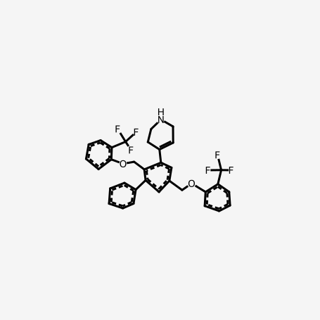 FC(F)(F)c1ccccc1OCc1cc(C2=CCNCC2)c(COc2ccccc2C(F)(F)F)c(-c2ccccc2)c1